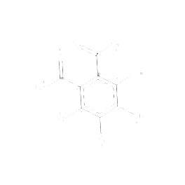 Cc1c(Cl)c(Cl)c(C(=O)O)c(C(=O)O)c1Cl